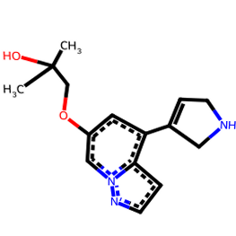 CC(C)(O)COc1cc(C2=CCNC2)c2ccnn2c1